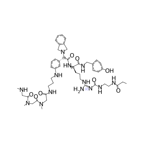 CCC(=O)NCCNC(=O)/N=C(/N)NCCC[C@@H](NC(=O)[C@H](c1cccc(NCCCNC(=O)CN(C)C(=O)CN(C)C(=O)CNC)c1)N1Cc2ccccc2C1)C(=O)NCc1ccc(O)cc1